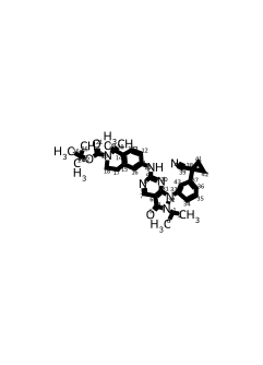 CC(C)n1c(=O)c2cnc(Nc3ccc4c(c3)CCN(C(=O)OC(C)(C)C)C4(C)C)nc2n1-c1cccc(C2(C#N)CC2)c1